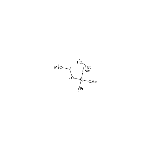 CCC[Si](OC)(OC)OCOC.CCO